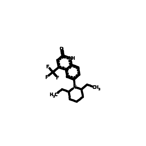 CCC1CCCC(CC)N1c1ccc2[nH]c(=O)cc(C(F)(F)F)c2c1